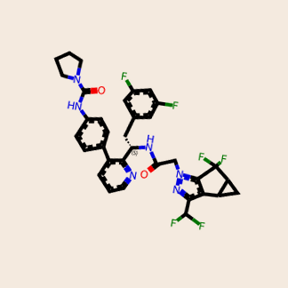 O=C(Cn1nc(C(F)F)c2c1C(F)(F)C1CC21)N[C@@H](Cc1cc(F)cc(F)c1)c1ncccc1-c1ccc(NC(=O)N2CCCC2)cc1